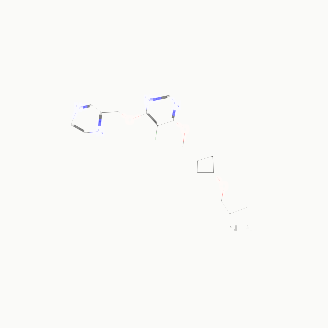 CC(=O)N[C@@H](C)CO[C@H]1C[C@H](COc2ncnc(OCc3cnccn3)c2Cl)C1